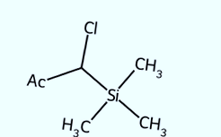 CC(=O)C(Cl)[Si](C)(C)C